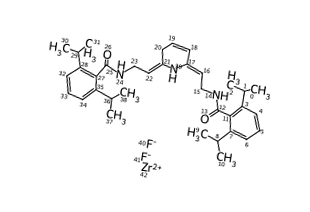 CC(C)c1cccc(C(C)C)c1C(=O)NCC=C1C=CCC(=CCNC(=O)c2c(C(C)C)cccc2C(C)C)N1.[F-].[F-].[Zr+2]